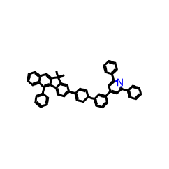 CC1(C)c2cc(C3=CCC(c4cccc(-c5cc(-c6ccccc6)nc(-c6ccccc6)c5)c4)C=C3)ccc2-c2c1cc1ccccc1c2-c1ccccc1